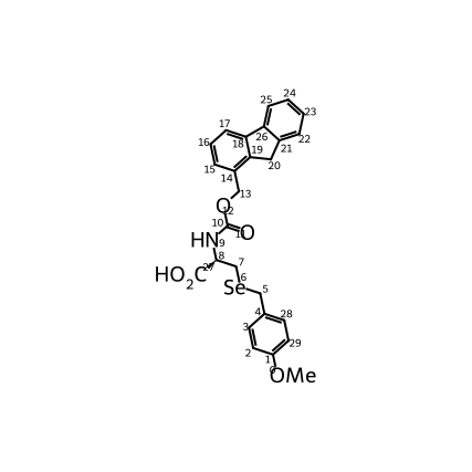 COc1ccc(C[Se]C[C@H](NC(=O)OCc2cccc3c2Cc2ccccc2-3)C(=O)O)cc1